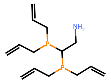 C=CCP(CC=C)C(CN)P(CC=C)CC=C